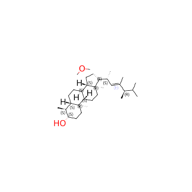 C/C(=C\[C@@H](C)[C@H]1CC[C@H]2[C@@H]3CC[C@H]4[C@H](C)[C@@H](O)CC[C@]4(C)[C@H]3CC[C@]12C)[C@H](C)C(C)C.COC